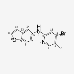 Cc1cnc(Nc2ccc3occc3c2)cc1Br